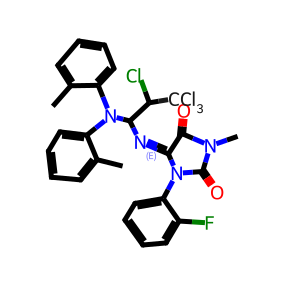 Cc1ccccc1N(c1ccccc1C)C(/N=C1\C(=O)N(C)C(=O)N1c1ccccc1F)C(Cl)C(Cl)(Cl)Cl